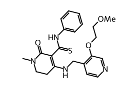 COCCOc1cnccc1CNC1=C(C(=S)Nc2ccccc2)C(=O)N(C)CC1